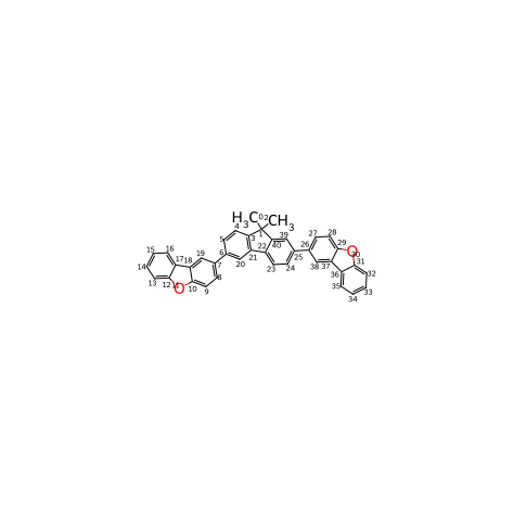 CC1(C)c2ccc(-c3ccc4oc5ccccc5c4c3)cc2-c2ccc(-c3ccc4oc5ccccc5c4c3)cc21